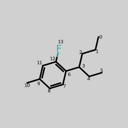 CCCC(CC)c1ccc(C)cc1F